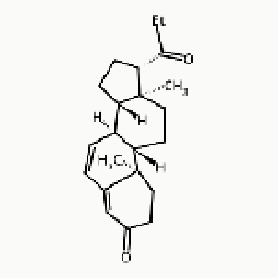 CCC(=O)[C@H]1CC[C@H]2[C@@H]3C=CC4=CC(=O)CC[C@]4(C)[C@H]3CC[C@]12C